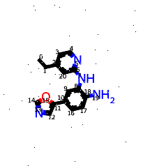 CCc1ccnc(Nc2cc(-c3cnco3)ccc2N)c1